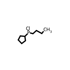 CCCCP(Cl)C1CCCC1